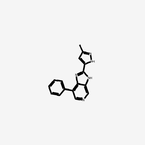 Cc1cc(-c2nc3c(-c4ccccc4)cncc3[nH]2)[nH]n1